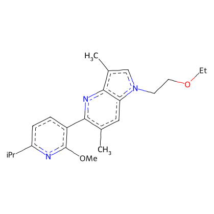 CCOCCn1cc(C)c2nc(-c3ccc(C(C)C)nc3OC)c(C)cc21